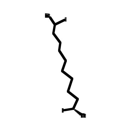 CCC(I)CCCCCCCC[C@@H](I)CC